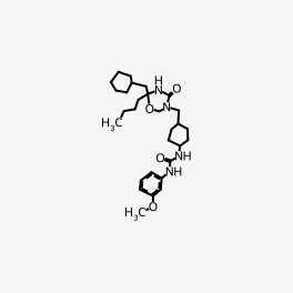 CCCCC1(CC2CCCCC2)NC(=O)N(CC2CCC(NC(=O)Nc3cccc(OC)c3)CC2)CO1